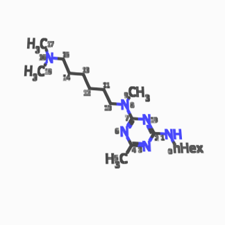 CCCCCCNc1nc(C)nc(N(C)CCCCCCN(C)C)n1